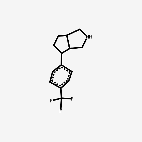 FC(F)(F)c1ccc(C2CCC3CNCC32)cc1